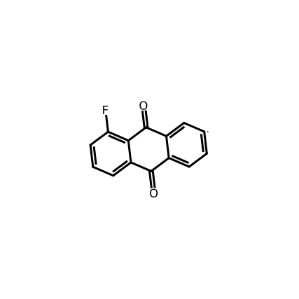 O=C1c2cc[c]cc2C(=O)c2c(F)cccc21